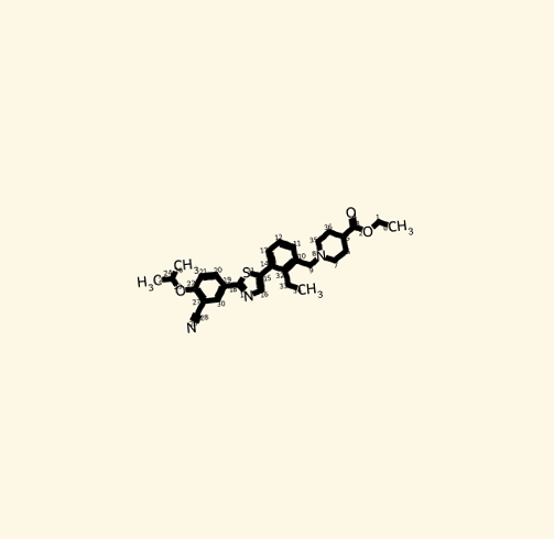 CCOC(=O)C1CCN(Cc2cccc(-c3cnc(-c4ccc(OC(C)C)c(C#N)c4)s3)c2CC)CC1